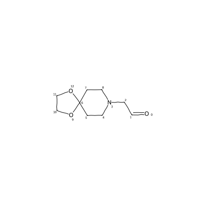 O=CCN1CCC2(CC1)OCCO2